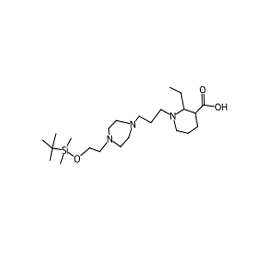 CCC1C(C(=O)O)CCCN1CCCN1CCN(CCO[Si](C)(C)C(C)(C)C)CC1